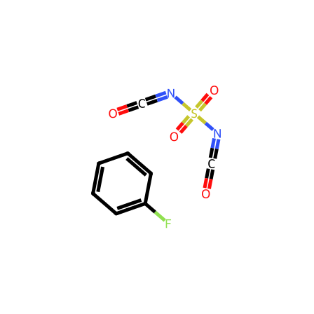 Fc1ccccc1.O=C=NS(=O)(=O)N=C=O